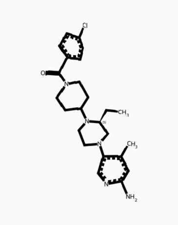 CC[C@H]1CN(c2cnc(N)cc2C)CCN1C1CCN(C(=O)c2ccc(Cl)cc2)CC1